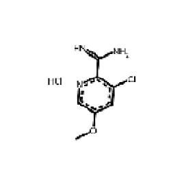 COc1cnc(C(=N)N)c(Cl)c1.Cl